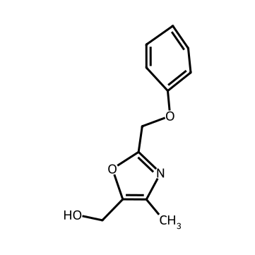 Cc1nc(COc2ccccc2)oc1CO